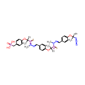 CCCC(C)(N=[N+]=[N-])Oc1ccc(/C=N/N(C)[PH](=S)C(C)(CC)Oc2ccc(/C=N/N(C)[PH](=S)C(C)(CC)Oc3ccc(CP(=O)(O)O)cc3)cc2)cc1